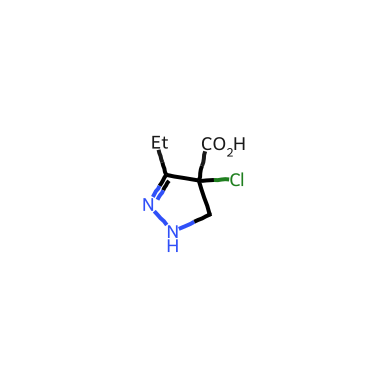 CCC1=NNCC1(Cl)C(=O)O